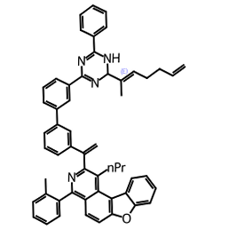 C=CCC/C=C(\C)C1N=C(c2cccc(-c3cccc(C(=C)c4nc(-c5ccccc5C)c5ccc6oc7ccccc7c6c5c4CCC)c3)c2)N=C(c2ccccc2)N1